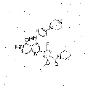 COc1cc(-c2cc(Nc3ccc(N4CCN(C)CC4)cn3)c3c(=O)[nH]ccc3n2)c(F)cc1C(=O)N1CCCCC1